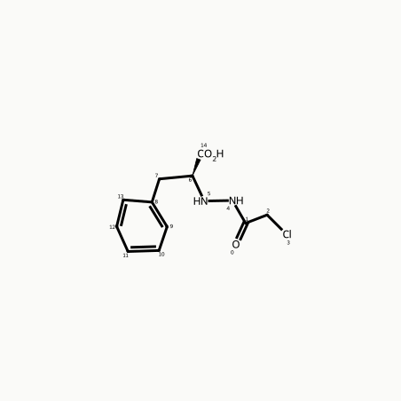 O=C(CCl)NN[C@@H](Cc1ccccc1)C(=O)O